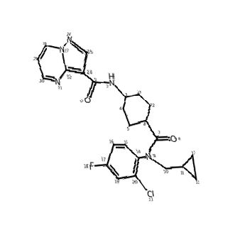 O=C(NC1CCC(C(=O)N(CC2CC2)c2ccc(F)cc2Cl)CC1)c1cnn2cccnc12